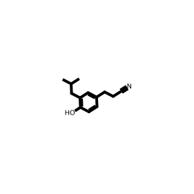 CC(C)Cc1cc(CCC#N)ccc1O